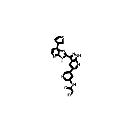 CC(C)CC(=O)Nc1cncc(-c2cnc3[nH]nc(-c4nc5c(-c6ccsc6)ccnc5[nH]4)c3c2)c1